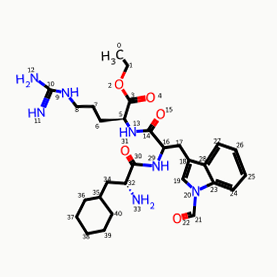 CCOC(=O)[C@H](CCCNC(=N)N)NC(=O)C(Cc1cn(C=O)c2ccccc12)NC(=O)[C@H](N)CC1CCCCC1